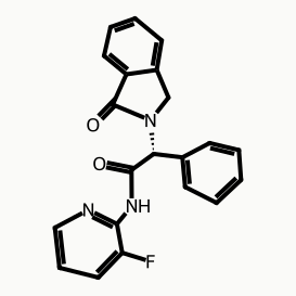 O=C(Nc1ncccc1F)[C@@H](c1ccccc1)N1Cc2ccccc2C1=O